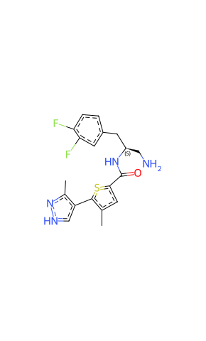 Cc1cc(C(=O)N[C@H](CN)Cc2ccc(F)c(F)c2)sc1-c1c[nH]nc1C